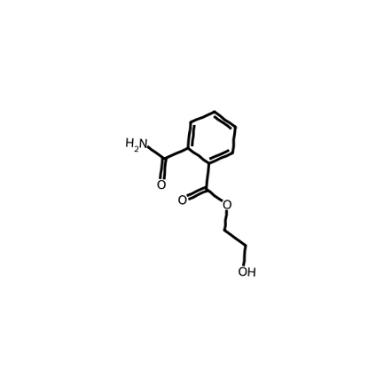 NC(=O)c1ccccc1C(=O)OCCO